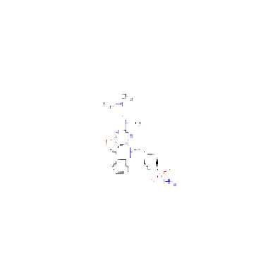 CN(C)CCN(C)c1nc(NCc2ccc(S(N)(=O)=O)cc2)c2c(-c3ccccc3)csc2n1